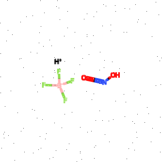 F[B-](F)(F)F.O=NO.[H+]